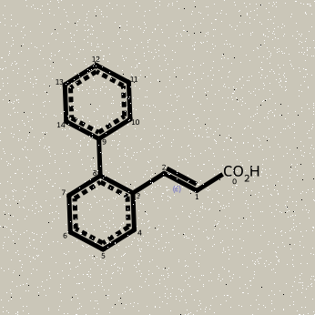 O=C(O)/C=C/c1ccccc1-c1cc[c]cc1